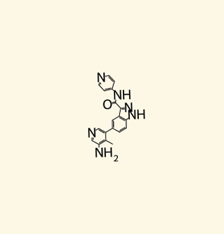 Cc1c(N)cncc1-c1ccc2[nH]nc(C(=O)Nc3ccncc3)c2c1